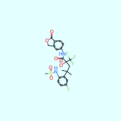 CC(C)(CC(O)(C(=O)Nc1ccc2c(c1)COC2=O)C(F)(F)F)c1cc(F)ccc1NS(C)(=O)=O